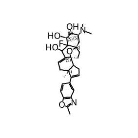 Cc1nc2cc(C3=CCC4[C@]3(C)CC=C3C(O)C5(F)[C@@H](O)[C@H](O)[C@@H](N(C)C)C[C@]56CC[C@@]34O6)ccc2o1